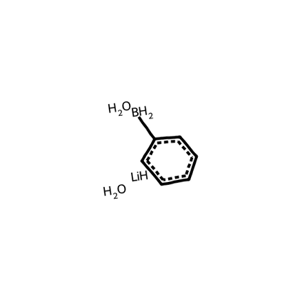 Bc1ccccc1.O.O.[LiH]